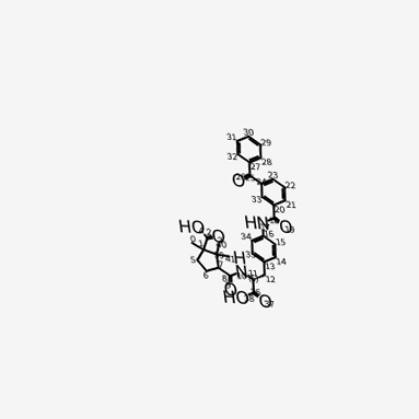 CC1(C(=O)O)CCC(C(=O)N[C@@H](Cc2ccc(NC(=O)c3cccc(C(=O)c4ccccc4)c3)cc2)C(=O)O)C1(C)C